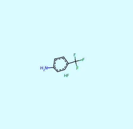 F.Nc1ccc(C(F)(F)F)cc1